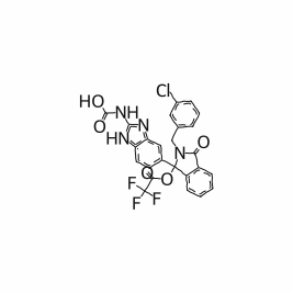 O=C(O)Nc1nc2cc(C3(OC(=O)C(F)(F)F)c4ccccc4C(=O)N3Cc3cccc(Cl)c3)ccc2[nH]1